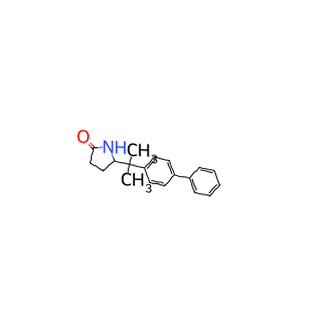 CC(C)(c1ccc(-c2ccccc2)cc1)C1CCC(=O)N1